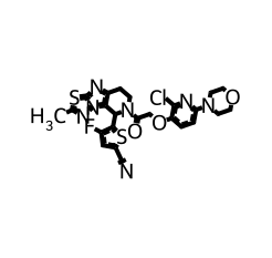 Cc1nn2c3c(nc2s1)CCN(C(=O)COc1ccc(N2CCOCC2)nc1Cl)C3c1sc(C#N)cc1F